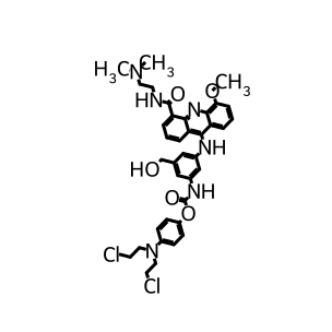 COc1cccc2c(Nc3cc(CO)cc(NC(=O)Oc4ccc(N(CCCl)CCCl)cc4)c3)c3cccc(C(=O)NCCN(C)C)c3nc12